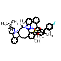 C=CC1=[N+](CC[SiH](C)C)C2CC(=C)[n+]3c(n(-c4ccc(C(C)(C)C)cc4-c4ccccc4)c4ccccc43)-c3c(cc(C)c4c3sc3cc(-c5ccc(F)cc5)ccc34)CCC2c2ccccc21